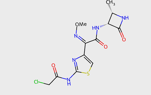 CON=C(C(=O)N[C@H]1C(=O)N[C@H]1C)c1csc(NC(=O)CCl)n1